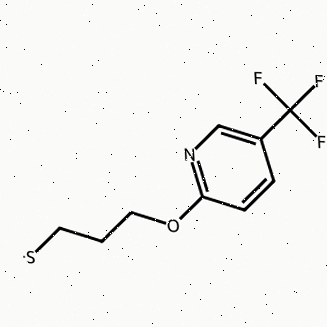 FC(F)(F)c1ccc(OCCC[S])nc1